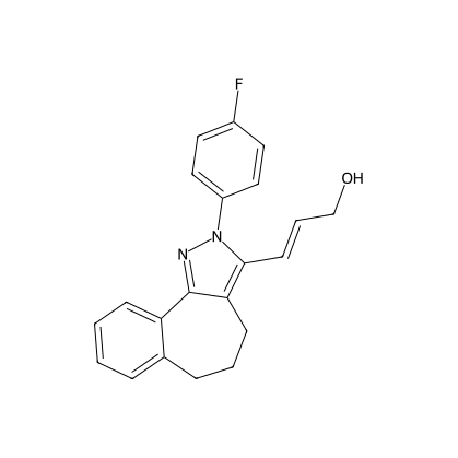 OC/C=C/c1c2c(nn1-c1ccc(F)cc1)-c1ccccc1CCC2